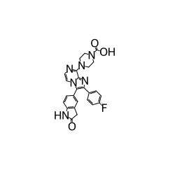 O=C1Cc2cc(-c3c(-c4ccc(F)cc4)nc4c(N5CCN(C(=O)O)CC5)nccn34)ccc2N1